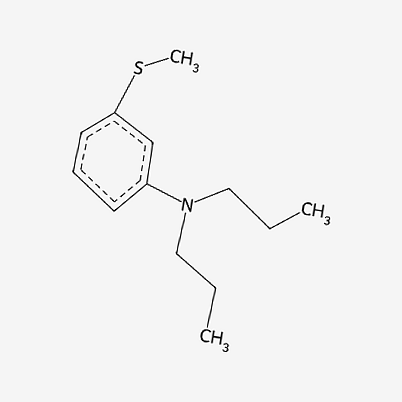 CCCN(CCC)c1cccc(SC)c1